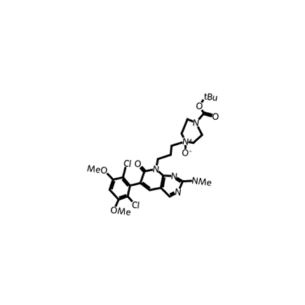 CNc1ncc2cc(-c3c(Cl)c(OC)cc(OC)c3Cl)c(=O)n(CCC[N+]3([O-])CCN(C(=O)OC(C)(C)C)CC3)c2n1